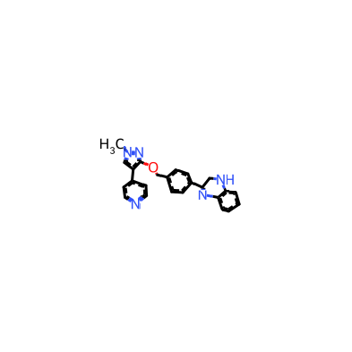 Cn1cc(-c2ccncc2)c(OCc2ccc(C3=Nc4ccccc4NC3)cc2)n1